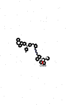 COc1ccc(N(CC(c2ccccc2)c2ccccc2)c2ccc(C/C=C/C=C/c3cccc(Cc4ccc(N(c5ccc(C)cc5)c5ccc(C=C6c7ccccc7C=Cc7ccccc76)cc5)cc4)c3)c3ccccc23)cc1